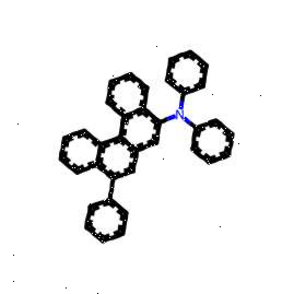 c1ccc(-c2cc3cc(N(c4ccccc4)c4ccccc4)c4ccccc4c3c3ccccc23)cc1